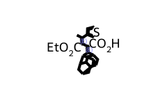 CCOC(=O)C(/C(C(=O)O)=C1/C2CC3C4CC5CC3C1C(C5)C4C2)=C(\C)c1ccsc1